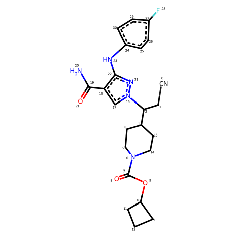 N#CCC(C1CCN(C(=O)OC2CCC2)CC1)n1cc(C(N)=O)c(Nc2ccc(F)cc2)n1